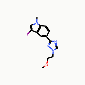 COCCn1cnc(-c2ccc3c(c2)c(I)cn3C)n1